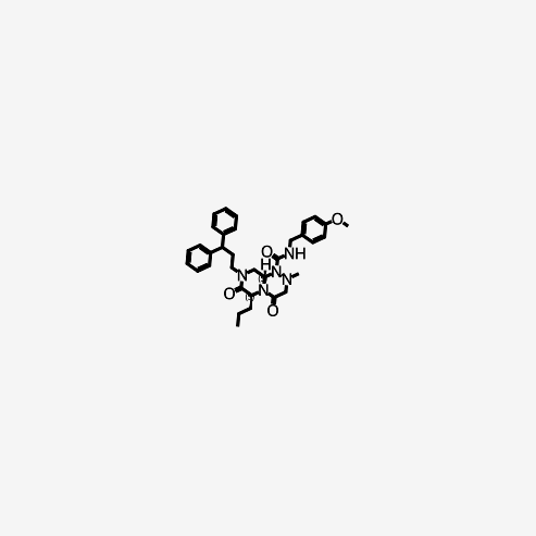 CCC[C@H]1C(=O)N(CCC(c2ccccc2)c2ccccc2)C[C@H]2N1C(=O)CN(C)N2C(=O)NCc1ccc(OC)cc1